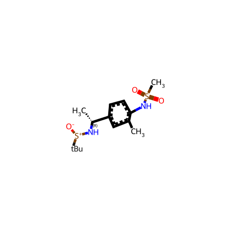 Cc1cc([C@@H](C)N[S+]([O-])C(C)(C)C)ccc1NS(C)(=O)=O